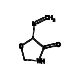 C=NC1OCNC1=O